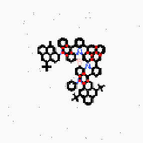 CC1=C2C=CC=C3C=C(C(C)(C)C)C4=CC=C(N(c5ccccc5)c5ccc6c(c5)N(c5c(-c7ccccc7)cccc5-c5ccccc5)c5cc(-c7ccccc7)cc7c5B6c5ccc(N(C6=CC=C8C(C(C)(C)C)=CC9=CC=CC%10=C(C(C)(C)C)C=C6C8C9%10)c6ccccc6)cc5N7c5c(-c6ccccc6)cccc5-c5ccccc5)C(=C1)C4C32